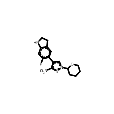 O=[N+]([O-])c1nn(C2CCCCO2)cc1-c1cc2c(cc1F)NCC2